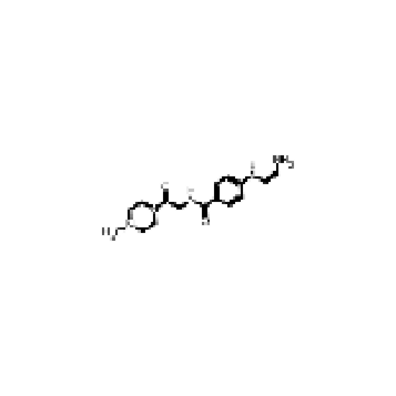 CN1CCN(C(=O)CNC(=O)c2ccc(N/C=C\N)cc2)CC1